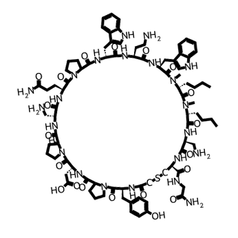 CCCC[C@@H]1C(=O)N(C)[C@H](CCCC)C(=O)N[C@@H](CN)C(=O)N[C@@H](C(=O)NCC(N)=O)CSCC(=O)N[C@@H](Cc2ccc(O)cc2)C(=O)N2CCCC2C(=O)N[C@H](CC(=O)O)C(=O)N2CCC[C@H]2C(=O)N[C@H](CN)C(=O)N[C@@H](CCC(N)=O)C(=O)N2CCCC2C(=O)N[C@H](Cc2c[nH]c3ccccc23)C(=O)N[C@@H](CCN)C(=O)N[C@@H](Cc2c[nH]c3ccccc23)C(=O)N1C